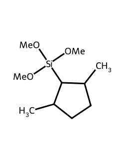 CO[Si](OC)(OC)C1C(C)CCC1C